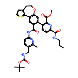 CCCNC(=O)c1ccc(-c2cc3c(cc2C(=O)Nc2ccc(CNC(=O)OC(C)(C)C)c(C)n2)-c2sccc2CCO3)c(C(=O)OC)n1